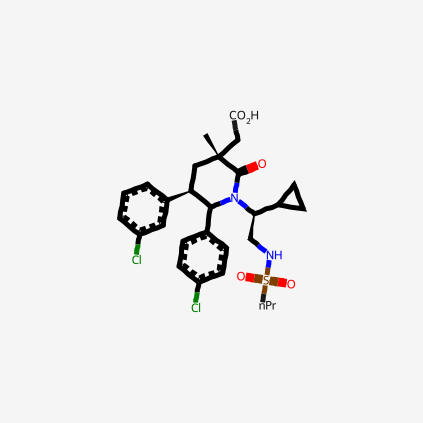 CCCS(=O)(=O)NC[C@H](C1CC1)N1C(=O)[C@@](C)(CC(=O)O)C[C@H](c2cccc(Cl)c2)C1c1ccc(Cl)cc1